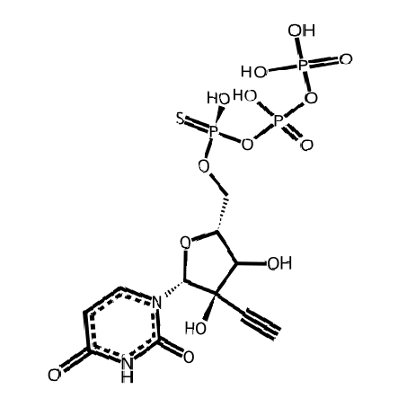 C#C[C@@]1(O)C(O)[C@@H](CO[P@](O)(=S)OP(=O)(O)OP(=O)(O)O)O[C@H]1n1ccc(=O)[nH]c1=O